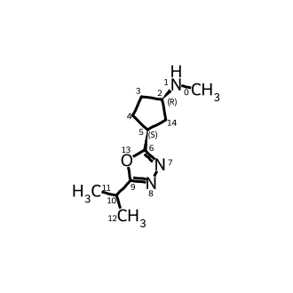 CN[C@@H]1CC[C@H](c2nnc(C(C)C)o2)C1